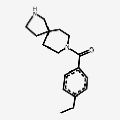 CCc1ccc(C(=O)N2CCC3(CCNC3)CC2)cc1